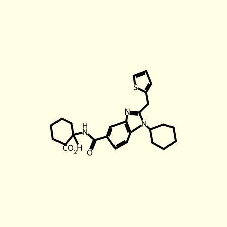 O=C(NC1(C(=O)O)CCCCC1)c1ccc2c(c1)nc(Cc1cccs1)n2C1CCCCC1